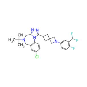 CC(C)(C#N)N1Cc2cc(Cl)ccc2-n2c(nnc2C2CC3(C2)CN(c2ccc(F)c(C(F)F)c2)C3)C1